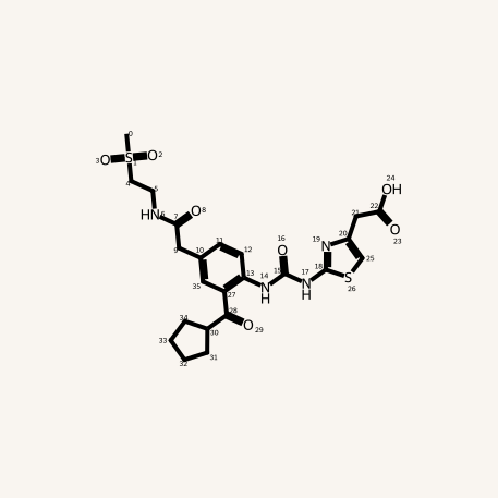 CS(=O)(=O)CCNC(=O)Cc1ccc(NC(=O)Nc2nc(CC(=O)O)cs2)c(C(=O)C2CCCC2)c1